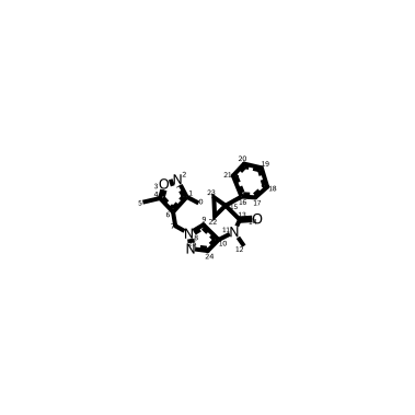 Cc1noc(C)c1Cn1cc(N(C)C(=O)C2(c3ccccc3)CC2)cn1